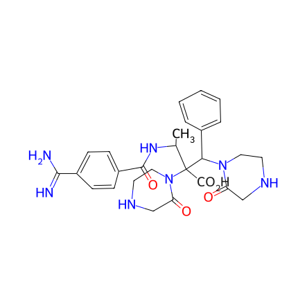 CC(NC(=O)c1ccc(C(=N)N)cc1)C(C(=O)O)(C(c1ccccc1)N1CCNCC1=O)N1CCNCC1=O